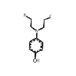 Oc1ccc(N(CCF)CCF)cc1